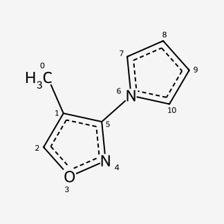 Cc1conc1-n1cccc1